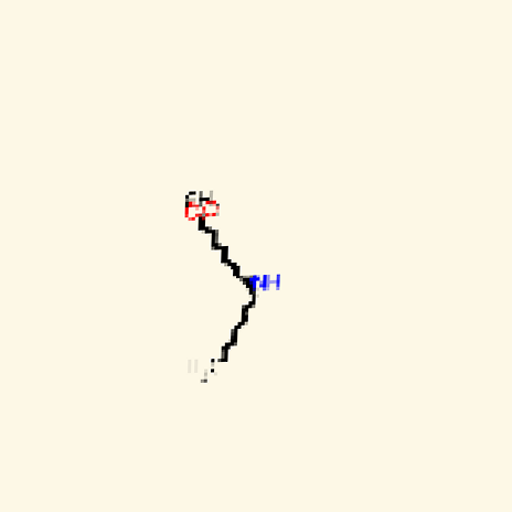 CCCCCCCC[C@@H]1N[C@@H]1CCCCCCCC(=O)OC